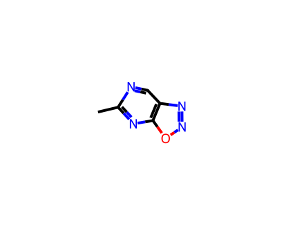 Cc1ncc2nnoc2n1